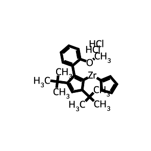 COc1ccccc1C1=[C]([Zr][C]2=CC=CC2)C(C(C)(C)C)C=C1C(C)(C)C.Cl.Cl